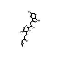 [N-]=[N+]=CC(=O)CCC(NC(=O)C(O)Cc1c[nH]c2ccc(Cl)cc12)C(=O)O